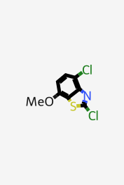 COc1ccc(Cl)c2nc(Cl)sc12